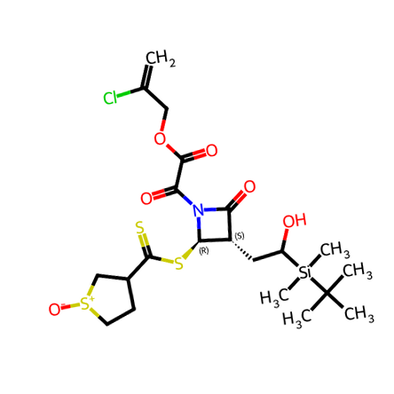 C=C(Cl)COC(=O)C(=O)N1C(=O)[C@H](CC(O)[Si](C)(C)C(C)(C)C)[C@H]1SC(=S)C1CC[S+]([O-])C1